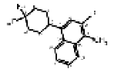 Cc1c(I)cc(C2CCC(F)(F)CC2)c2ccccc12